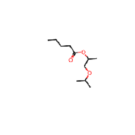 CCCCC(=O)OC(C)COC(C)C